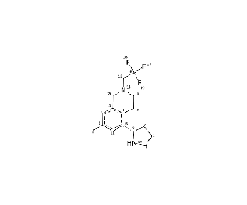 Cc1cc2c(c([C@@H]3CCCN3)c1)CCN(CC(F)(F)F)C2